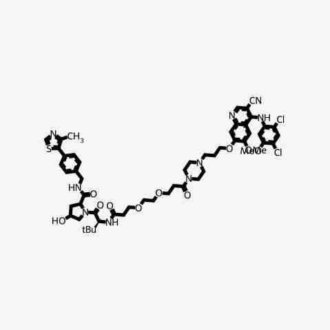 COc1cc(Nc2c(C#N)cnc3cc(OCCCN4CCN(C(=O)CCOCCOCCC(=O)N[C@H](C(=O)N5CC(O)CC5C(=O)NCc5ccc(-c6scnc6C)cc5)C(C)(C)C)CC4)c(OC)cc23)c(Cl)cc1Cl